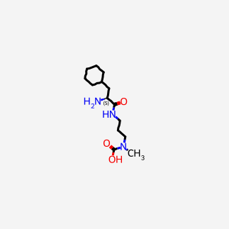 CN(CCCNC(=O)[C@@H](N)CC1CCCCC1)C(=O)O